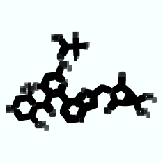 Cc1cc(C(F)(F)F)nc(-c2ccnc3cc(CN4C(=O)C5C(C4=O)C5(C)C)sc23)c1C(=O)N1[C@@H](C)CNC[C@@H]1C.O=C(O)C(F)(F)F